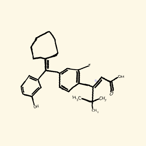 CC(C)(C)/C(=C\C(=O)O)c1ccc(C(=C2CCCCCC2)c2cccc(O)c2)cc1F